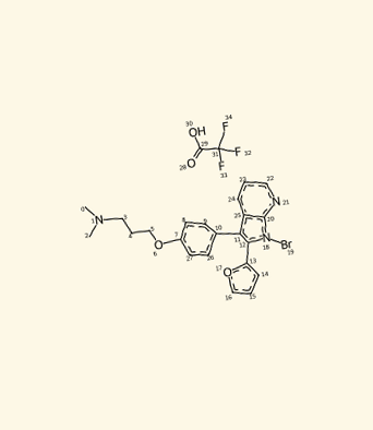 CN(C)CCCOc1ccc(-c2c(-c3ccco3)n(Br)c3ncccc23)cc1.O=C(O)C(F)(F)F